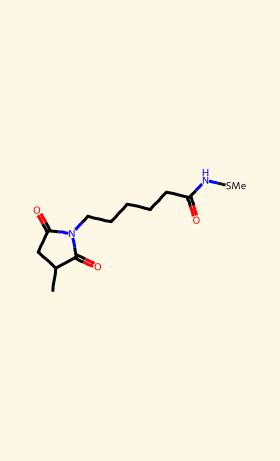 CSNC(=O)CCCCCN1C(=O)CC(C)C1=O